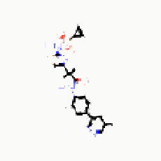 Cc1cncc(-c2ccc(NC(=O)C(C)(C)c3csc(NS(=O)(=O)C4CC4)n3)cc2)c1